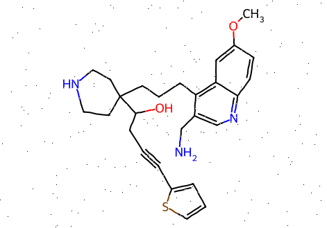 COc1ccc2ncc(CN)c(CCCC3(C(O)CC#Cc4cccs4)CCNCC3)c2c1